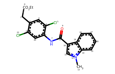 CCOC(=O)Cc1cc(Cl)c(NC(=O)c2cn(C)c3ccccc23)cc1Cl